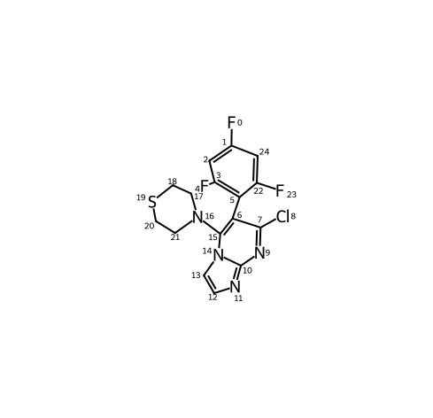 Fc1cc(F)c(-c2c(Cl)nc3nccn3c2N2CCSCC2)c(F)c1